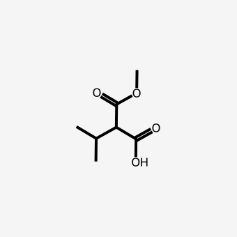 COC(=O)C(C(=O)O)C(C)C